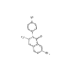 Cc1ccc2cc(C(F)(F)F)n(-c3ccc(C#N)cc3)c(=O)c2c1